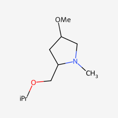 COC1CC(COC(C)C)N(C)C1